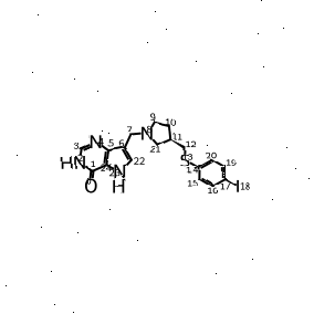 O=c1[nH]cnc2c(CN3CC[C@@H](CSc4ccc(I)cc4)C3)c[nH]c12